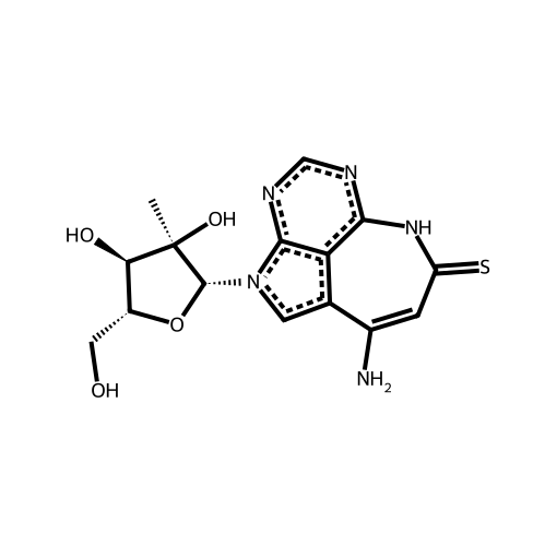 C[C@@]1(O)[C@H](O)[C@@H](CO)O[C@H]1n1cc2c3c(ncnc31)NC(=S)C=C2N